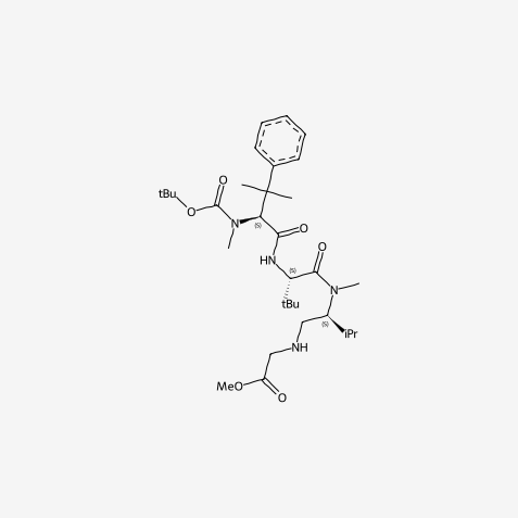 COC(=O)CNC[C@H](C(C)C)N(C)C(=O)[C@@H](NC(=O)[C@@H](N(C)C(=O)OC(C)(C)C)C(C)(C)c1ccccc1)C(C)(C)C